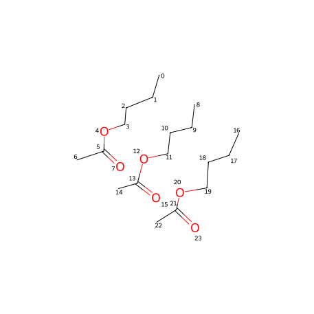 CCCCOC(C)=O.CCCCOC(C)=O.CCCCOC(C)=O